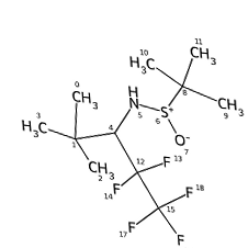 CC(C)(C)C(N[S+]([O-])C(C)(C)C)C(F)(F)C(F)(F)F